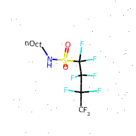 CCCCCCCCNS(=O)(=O)C(F)(F)C(F)(F)C(F)(F)C(F)(F)F